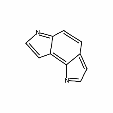 C1=Cc2c3c(ccc2=N1)=CC=N3